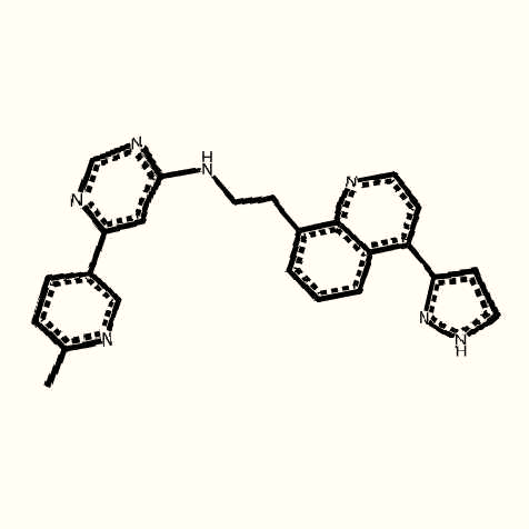 Cc1ccc(-c2cc(NCCc3cccc4c(-c5cc[nH]n5)ccnc34)ncn2)cn1